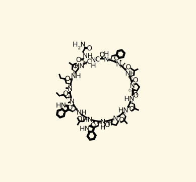 CCCC[C@H]1C(=O)N(C)[C@@H](CCCC)C(=O)N[C@@H](CC(C)C)C(=O)N[C@H](C(=O)NCC(N)=O)CNCC(=O)N[C@@H](Cc2ccccc2)C(=O)N(C)[C@@H](C)C(=O)N[C@@H](CC(C)C)C(=O)N2CCC[C@H]2C(=O)N[C@@H](CC(C)C)C(=O)N[C@@H](CC(C)C)C(=O)N2CCC[C@H]2C(=O)N[C@@H](Cc2c[nH]c3ccccc23)C(=O)N[C@@H](CC(C)C)C(=O)N[C@@H](Cc2c[nH]c3ccccc23)C(=O)N1C